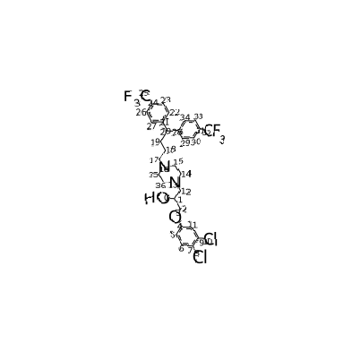 OC(COc1ccc(Cl)c(Cl)c1)CN1CCN(CCCC(c2ccc(C(F)(F)F)cc2)c2ccc(C(F)(F)F)cc2)CC1